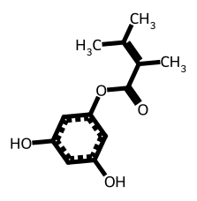 CC(C)=C(C)C(=O)Oc1cc(O)cc(O)c1